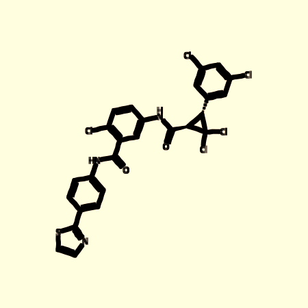 O=C(Nc1ccc(-c2nccs2)cc1)c1cc(NC(=O)[C@H]2[C@H](c3cc(Cl)cc(Cl)c3)C2(Cl)Cl)ccc1Cl